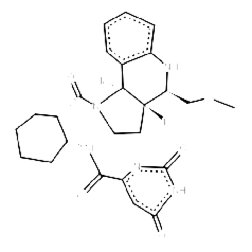 COC[C@@H]1Nc2ccccc2[C@H]2[C@H]1CCN2C(=O)[C@H]1CCCC[C@H]1NC(=O)c1cc(=O)[nH]c(=O)[nH]1